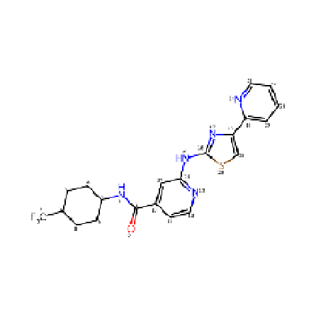 O=C(NC1CCC(C(F)(F)F)CC1)c1ccnc(Nc2nc(-c3ccccn3)cs2)c1